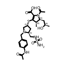 CC(=O)Nc1ccc(CN2C[C@@H](SC3=C(C(=O)O)N(C(C)=O)[C@@H](C[C@@H](C)O)[C@H]3C)C[C@H]2CNS(N)(=O)=O)cc1